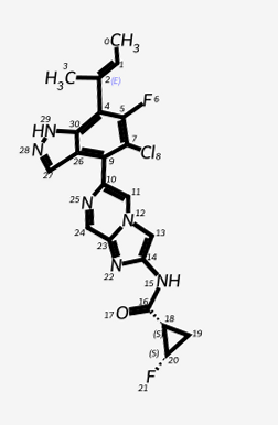 C/C=C(\C)c1c(F)c(Cl)c(-c2cn3cc(NC(=O)[C@@H]4C[C@@H]4F)nc3cn2)c2cn[nH]c12